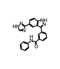 O=C(Nc1ccccc1)c1cccc(-c2n[nH]c3ccc(-c4nc[nH]n4)cc23)c1